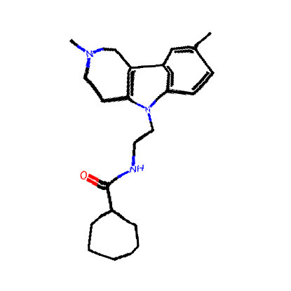 Cc1ccc2c(c1)c1c(n2CCNC(=O)C2CCCCC2)CCN(C)C1